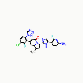 CC1C[C@@H](c2ncc(-c3ccc(N)nc3F)[nH]2)N2C(=O)C=C(c3c(-n4cnnn4)ccc(Cl)c3F)CC12